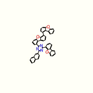 c1ccc2cc(-c3nc(-c4cccc5c4oc4ccccc45)nc(-c4cccc5oc6c(-c7cccc8oc9ccccc9c78)cccc6c45)n3)ccc2c1